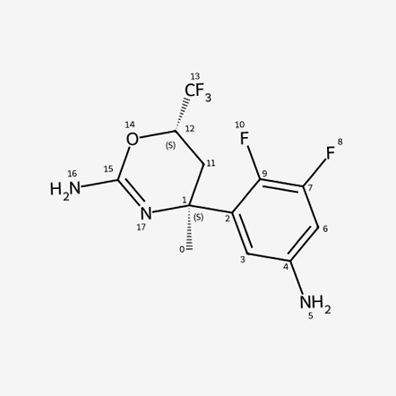 C[C@@]1(c2cc(N)cc(F)c2F)C[C@@H](C(F)(F)F)OC(N)=N1